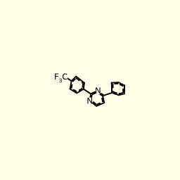 FC(F)(F)c1ccc(-c2nccc(-c3ccccc3)n2)cc1